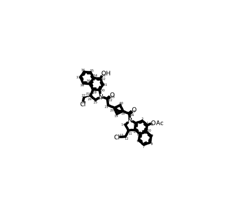 CC(=O)Oc1cc2c(c3ccccc13)C(CCl)CN2C(=O)C12CC(CC(=O)N3C[C@@H](CCl)c4c3cc(O)c3ccccc43)(C1)C2